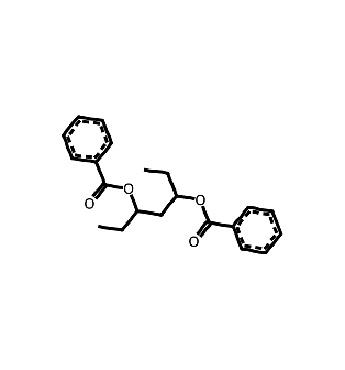 CCC(CC(CC)OC(=O)c1ccccc1)OC(=O)c1ccccc1